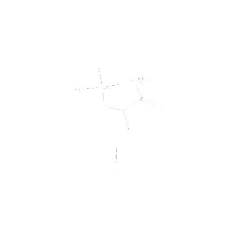 CCOCC(O[Si](C)(C)C(C)(C)C)C(=O)OC